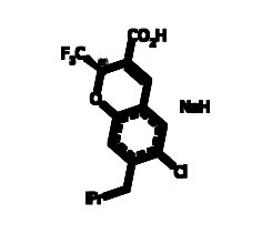 CC(C)Cc1cc2c(cc1Cl)C=C(C(=O)O)[C@H](C(F)(F)F)O2.[NaH]